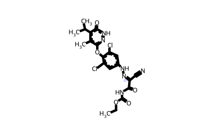 CCOC(=O)NC(=O)/C(C#N)=N/Nc1cc(Cl)c(Oc2n[nH]c(=O)c(C(C)C)c2C)c(Cl)c1